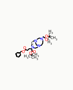 CC(C)(C)OC(=O)CN1CCCN2CCN(CCCN(C(CCC(=O)OCc3ccccc3)C(=O)OC(C)(C)C)CC2)CC1